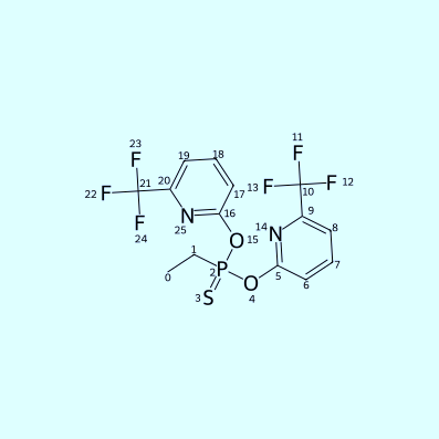 CCP(=S)(Oc1cccc(C(F)(F)F)n1)Oc1cccc(C(F)(F)F)n1